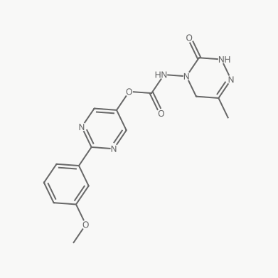 COc1cccc(-c2ncc(OC(=O)NN3CC(C)=NNC3=O)cn2)c1